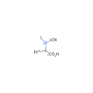 CCC(C(=O)O)N(C)C#N